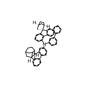 C[C@@H]1CC2CCC1[C@@]1(c3ccccc3-c3ccc(N(c4cccc(-c5ccccc5)c4)c4cccc5c4-c4ccccc4[C@@]54C[C@H]5CC[C@@H]4C5)cc31)[C@@H](C)C2